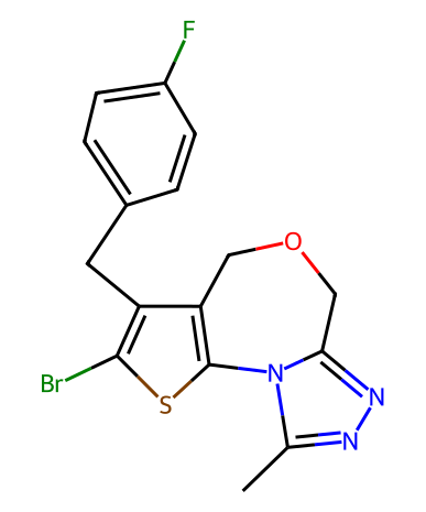 Cc1nnc2n1-c1sc(Br)c(Cc3ccc(F)cc3)c1COC2